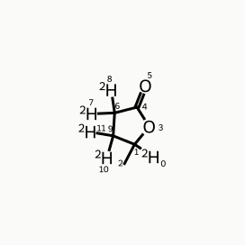 [2H]C1(C)OC(=O)C([2H])([2H])C1([2H])[2H]